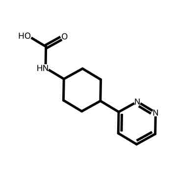 O=C(O)NC1CCC(c2cccnn2)CC1